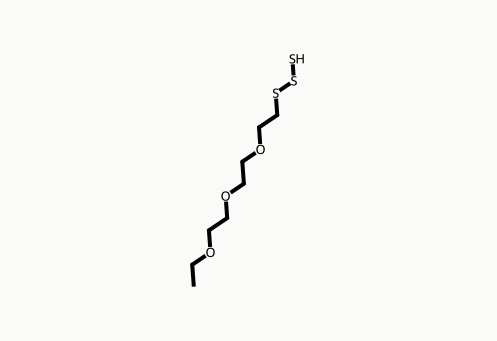 CCOCCOCCOCCSSS